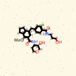 COc1c(C(=O)N[C@H]2CCOC[C@@H]2O)cc(Cc2ccc(C(=O)NCCCO)c(F)c2)c2c1CCC2